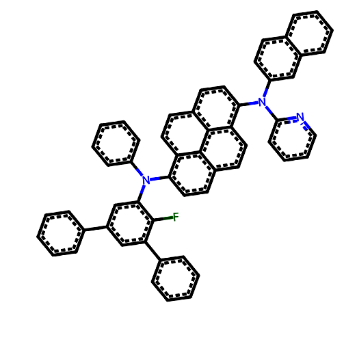 Fc1c(-c2ccccc2)cc(-c2ccccc2)cc1N(c1ccccc1)c1ccc2ccc3c(N(c4ccc5ccccc5c4)c4ccccn4)ccc4ccc1c2c43